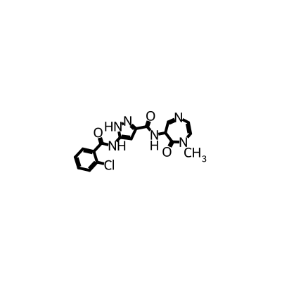 CN1C=CN=CC(NC(=O)c2cc(NC(=O)c3ccccc3Cl)[nH]n2)C1=O